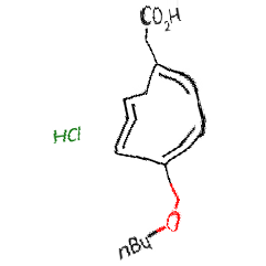 CCCCOc1ccc(C(=O)O)cc1.Cl